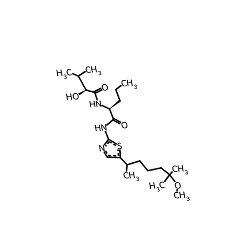 CCC[C@H](NC(=O)[C@@H](O)C(C)C)C(=O)Nc1ncc(C(C)CCCC(C)(C)OC)s1